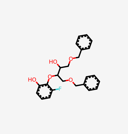 Oc1cccc(F)c1OC(COCc1ccccc1)C(O)COCc1ccccc1